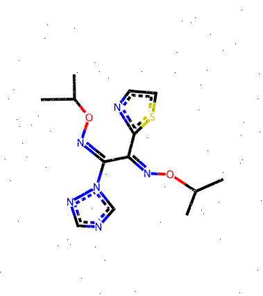 CC(C)ON=C(C(=NOC(C)C)n1cncn1)c1nccs1